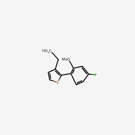 COc1cc(F)ccc1-c1sccc1CC(=O)O